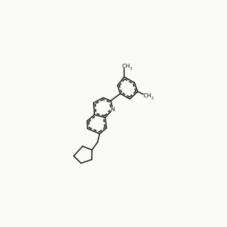 Cc1cc(C)cc(-c2ccc3ccc(CC4CCCC4)cc3n2)c1